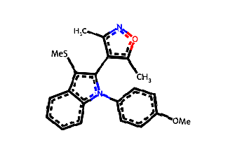 COc1ccc(-n2c(-c3c(C)noc3C)c(SC)c3ccccc32)cc1